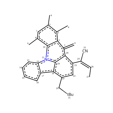 C=c1c2c(C)c(C)cc(C)c2n2c3ccccc3c3c(CC(C)(C)C)cc(/C(C#N)=C\C)c1c32